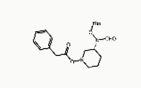 CC(C)(C)ON(C=O)[C@@H]1CCCN(OC(=O)Cc2ccccc2)C1